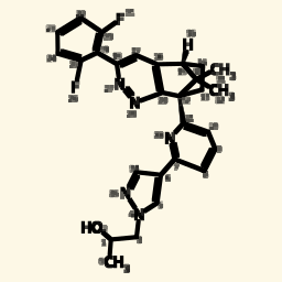 CC(O)Cn1cc(-c2cccc([C@@]34CC[C@@H](c5cc(-c6c(F)cccc6F)nnc53)C4(C)C)n2)cn1